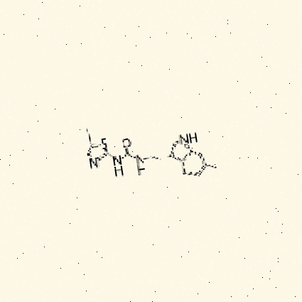 Cc1ccc2c(CCNC(=O)Nc3ncc(C)s3)c[nH]c2c1